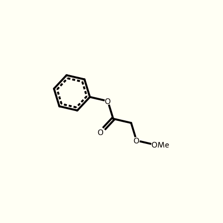 COOCC(=O)Oc1ccccc1